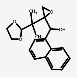 CC(C)(C1OCCO1)C1(C(O)c2cccc3ccccc23)CO1